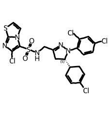 O=S(=O)(NCC1=NN(c2ccc(Cl)cc2Cl)[C@H](C2C=CC(Cl)=CC2)C1)c1c(Cl)nc2sccn12